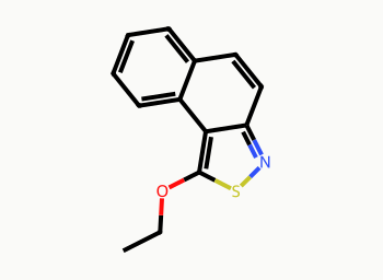 CCOc1snc2ccc3ccccc3c12